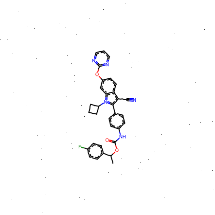 CC(OC(=O)Nc1ccc(-c2c(C#N)c3ccc(Oc4ncccn4)cc3n2C2CCC2)cc1)c1ccc(F)cc1